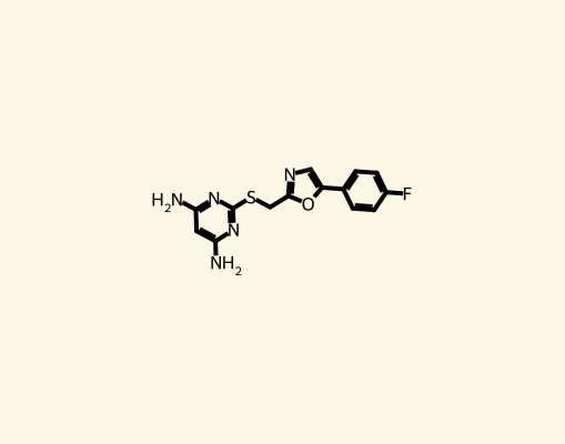 Nc1cc(N)nc(SCc2ncc(-c3ccc(F)cc3)o2)n1